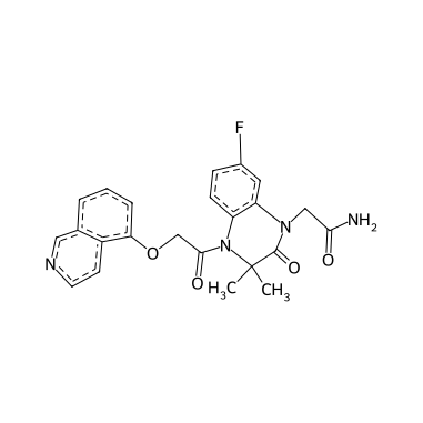 CC1(C)C(=O)N(CC(N)=O)c2cc(F)ccc2N1C(=O)COc1cccc2cnccc12